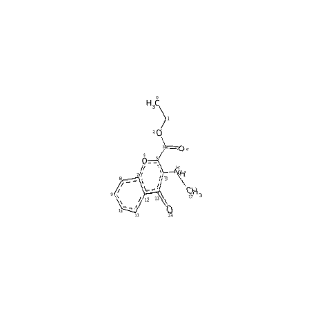 CCOC(=O)c1oc2ccccc2c(=O)c1NC